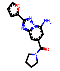 Nc1cc(C(=O)N2CCCC2)cc2nc(-c3ccco3)nn12